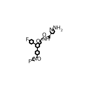 Nc1ccc([C@H]2C[C@@H]2C(=O)NCc2cc3cc(-c4ccc(C(=O)N5CC(F)C5)cc4)cc(-c4ccc(F)cc4)c3o2)cn1